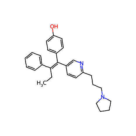 CCC(=C(c1ccc(O)cc1)c1ccc(CCCN2CCCC2)nc1)c1ccccc1